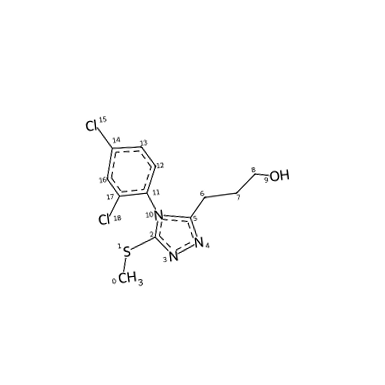 CSc1nnc(CCCO)n1-c1ccc(Cl)cc1Cl